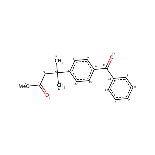 COC(=O)CC(C)(C)c1ccc(C(=O)c2ccccc2)cc1